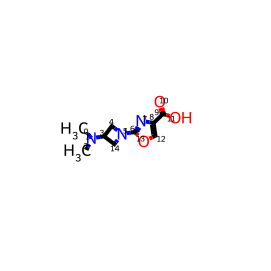 CN(C)C1CN(c2nc(C(=O)O)co2)C1